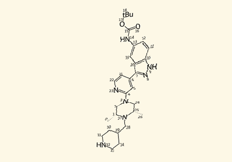 C[C@@H]1CN(c2cc(-c3n[nH]c4ccc(NC(=O)OC(C)(C)C)cc34)ccn2)C[C@H](C)N1CC1CCNCC1